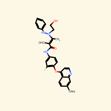 COc1ccc2c(Oc3ccc(NC(=O)/C(C=O)=C(\C)N(CCO)Nc4ccccc4)cc3F)ccnc2c1